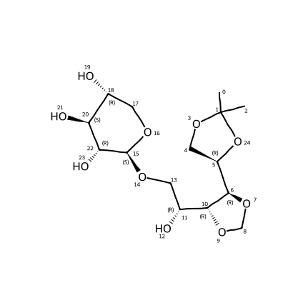 CC1(C)OC[C@H]([C@H]2OCO[C@@H]2[C@H](O)CO[C@@H]2OC[C@@H](O)[C@H](O)[C@H]2O)O1